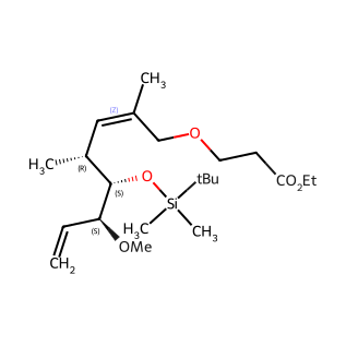 C=C[C@H](OC)[C@@H](O[Si](C)(C)C(C)(C)C)[C@H](C)/C=C(/C)COCCC(=O)OCC